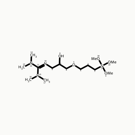 CO[Si](CCCOCC(O)CN=C(N(C)C)N(C)C)(OC)OC